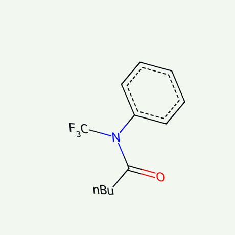 CCCCC(=O)N(c1ccccc1)C(F)(F)F